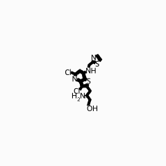 N[C@@H](CCO)Cc1sc2c(NCc3nccs3)cc(Cl)nc2c1Cl